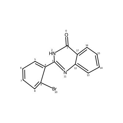 O=c1[nH]c(-c2ccccc2Br)nc2ccccc12